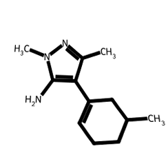 Cc1nn(C)c(N)c1C1=CCCC(C)C1